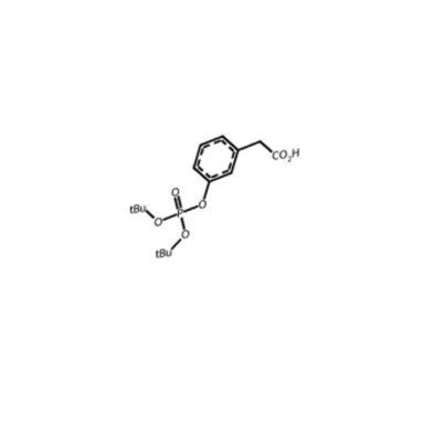 CC(C)(C)OP(=O)(Oc1cccc(CC(=O)O)c1)OC(C)(C)C